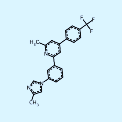 Cc1cn(-c2cccc(-c3cc(-c4ccc(C(F)(F)F)cc4)cc(C)n3)c2)cn1